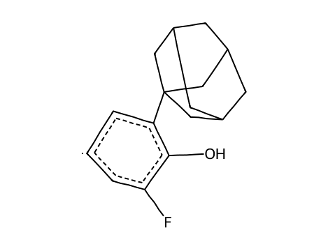 Oc1c(F)c[c]cc1C12CC3CC(CC(C3)C1)C2